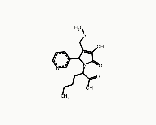 CCCCC(C(=O)O)N1C(=O)C(O)=C(CSC)C1c1cccnc1